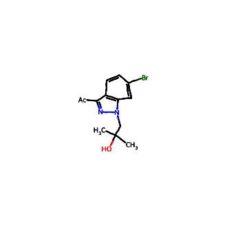 CC(=O)c1nn(CC(C)(C)O)c2cc(Br)ccc12